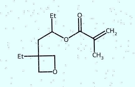 C=C(C)C(=O)OC(CC)CC1(CC)COC1